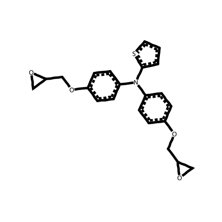 c1csc(N(c2ccc(OCC3CO3)cc2)c2ccc(OCC3CO3)cc2)c1